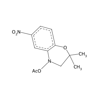 CC(=O)ON1CC(C)(C)Oc2ccc([N+](=O)[O-])cc21